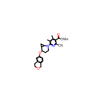 COC(=O)c1c(C#N)nc(N2CCC(Oc3ccc4c(c3)CCOC4)C3CC32)c(C)c1C